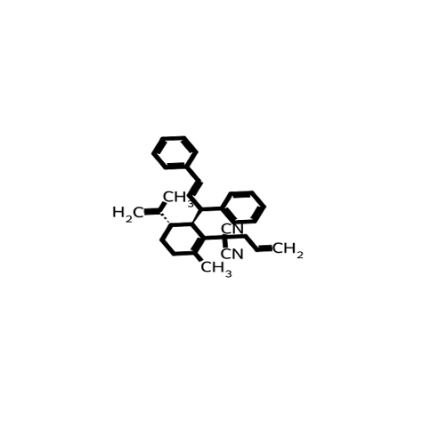 C=CCC(C#N)(C#N)C1=C(C)CC[C@H](C(=C)C)[C@H]1C(/C=C/c1ccccc1)c1ccccc1